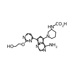 Nc1ncnn2c(-c3ccnc(OCCO)n3)cc(N3CCCC(NC(=O)O)C3)c12